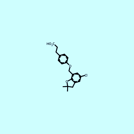 CC1(C)Cc2cc(Cl)cc(COc3ccc(CCC(=O)O)cc3)c2O1